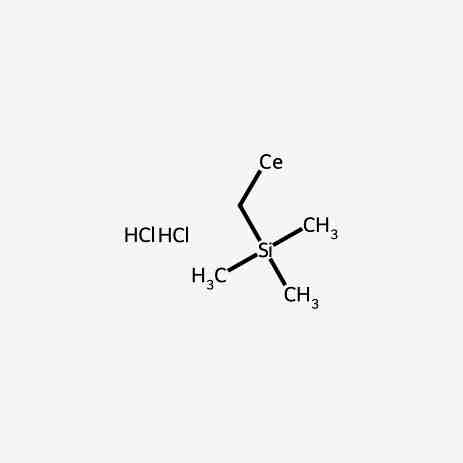 C[Si](C)(C)[CH2][Ce].Cl.Cl